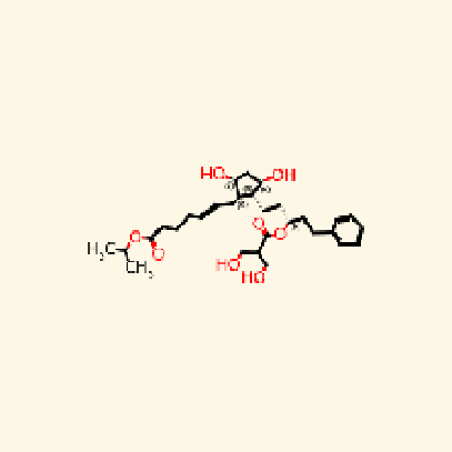 CC(C)OC(=O)CCCC=CC[C@@H]1[C@@H](CC[C@H](CCc2ccccc2)OC(=O)C(CO)CO)[C@H](O)C[C@@H]1O